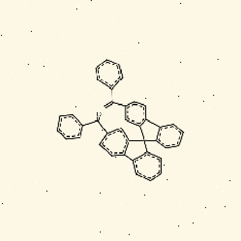 C=C(c1ccccc1)c1ccc2c(c1)C1(c3ccccc3-2)c2ccccc2-c2ccc(C(=O)c3ccccc3)cc21